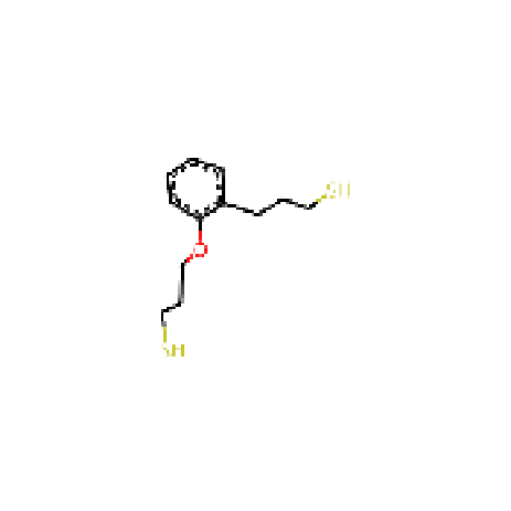 SCCCOc1cc[c]cc1CCCS